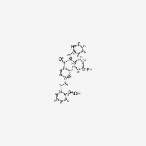 O=C(c1ccc(SCc2ccccc2SO)nc1)N(Cc1ccccn1)c1ccc(F)cc1